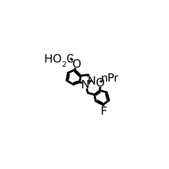 CCCOc1ccc(F)cc1Cn1ncc2c(OC(=O)O)cccc21